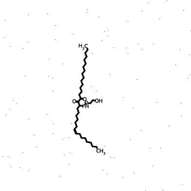 CCCCCCCC/C=C\CCCCCCC(POCCO)C(=O)C(=O)CCCCCCCCCCCCCCC